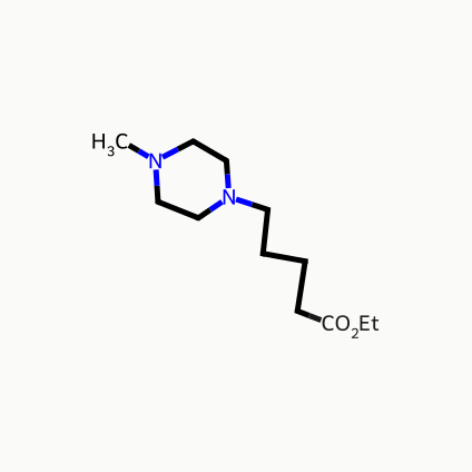 CCOC(=O)CCCCN1CCN(C)CC1